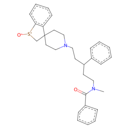 CN(CCC(CCN1CCC2(CC1)C[S+]([O-])c1ccccc12)c1ccccc1)C(=O)c1ccccc1